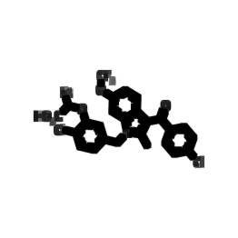 CCC(Oc1cc(Cn2c(C)c(C(=O)c3ccc(Cl)cc3)c3ccc(OC(F)(F)F)cc32)ccc1Cl)C(=O)O